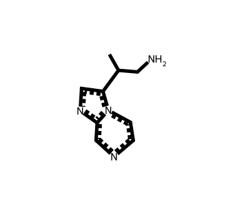 CC(CN)c1cnc2cnccn12